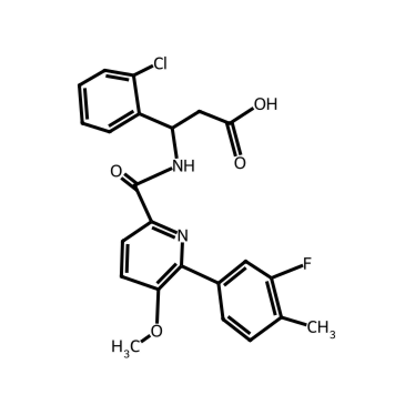 COc1ccc(C(=O)NC(CC(=O)O)c2ccccc2Cl)nc1-c1ccc(C)c(F)c1